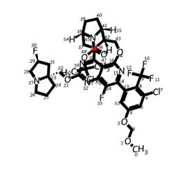 COCOc1cc(Cl)c(C(F)(F)F)c(-c2nc3c4c(nc(OC[C@]56CCCN5C[C@@H](F)C6)nc4c2F)N2C[C@@H]4CC[C@H]([C@@H]2CO3)N4C(=O)OC(C)(C)C)c1